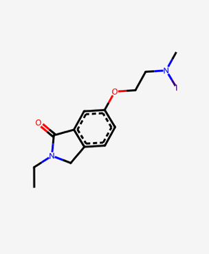 CCN1Cc2ccc(OCCN(C)I)cc2C1=O